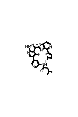 CC(C)CC(=O)Nc1cncc(-c2cnc3[nH]nc(-c4nc5c(-c6ccc(F)s6)nccc5[nH]4)c3c2F)c1